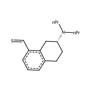 CCCN(CCC)[C@@H]1CCc2cccc(C=S)c2C1